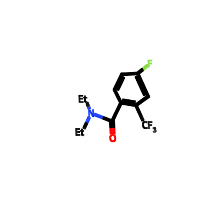 CCN(CC)C(=O)c1ccc(F)cc1C(F)(F)F